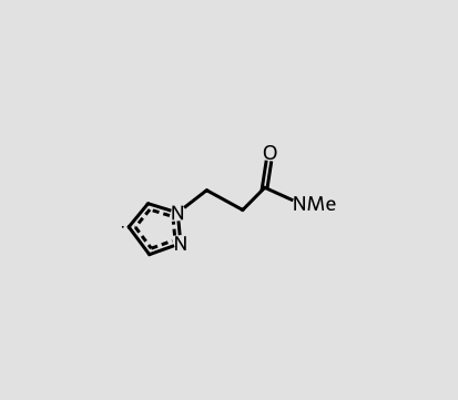 CNC(=O)CCn1c[c]cn1